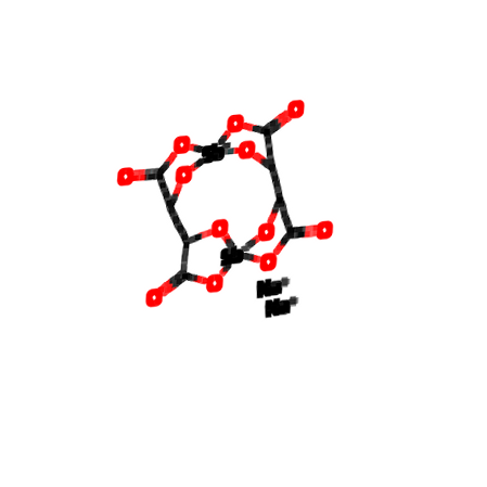 O=C1[O][Sb-]23[O]C(=O)C([O]2)C2[O][Sb-]4([O]C(=O)C([O]4)C1[O]3)[O]C2=O.[Na+].[Na+]